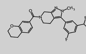 Cn1nc2c(c1-c1cc(F)cc(C(F)F)c1)CCN(C(=O)c1ccc3c(c1)OCCC3)C2